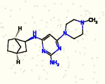 CN1CCN(c2cc(N[C@H]3C[C@H]4CC[C@@H]3C4)nc(N)n2)CC1